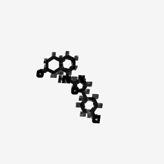 O=C1CCc2cccc(Nc3ncc(-c4ccc(Cl)cc4)o3)c2C1